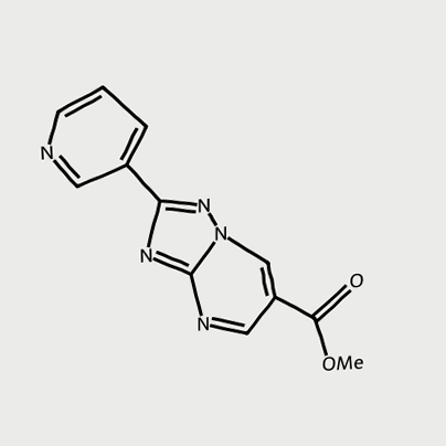 COC(=O)c1cnc2nc(-c3cccnc3)nn2c1